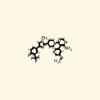 COc1cncc(-c2c(N)ncnc2N2CCC(c3nc(-c4ccc(F)c(C(F)(F)F)c4)cn3C)CC2)c1